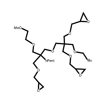 CCCCCC(COCCOC)(COCC1CO1)COCC(COCC(C)CC)(COCC1CO1)COCC1CO1